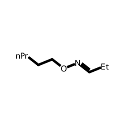 CCC=NOCCCCC